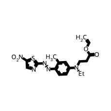 C=COC(=O)CCN(CC)c1ccc(N=Nc2ncc([N+](=O)[O-])s2)c(C)c1